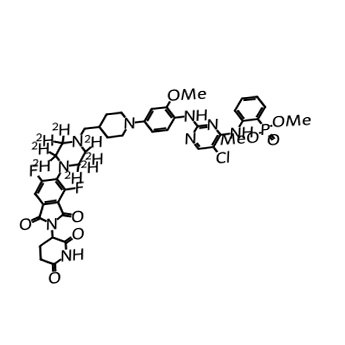 [2H]C1([2H])N(CC2CCN(c3ccc(Nc4ncc(Cl)c(Nc5ccccc5P(=O)(OC)OC)n4)c(OC)c3)CC2)C([2H])([2H])C([2H])([2H])N(c2c(F)cc3c(c2F)C(=O)N(C2CCC(=O)NC2=O)C3=O)C1([2H])[2H]